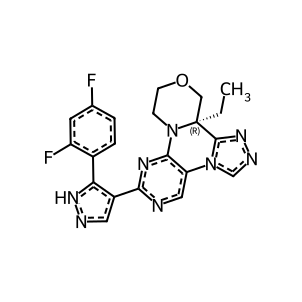 CC[C@@]12COCCN1c1nc(-c3cn[nH]c3-c3ccc(F)cc3F)ncc1-n1cnnc12